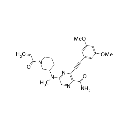 C=CC(=O)N1CCCC(N(C)c2cnc(C(N)=O)c(C#Cc3cc(OC)cc(OC)c3)n2)C1